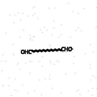 O=[C]CCCCCCCCCCCCCCCCC=O